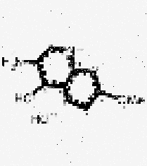 COc1ccc2c(O)c(N)cnc2c1.Cl